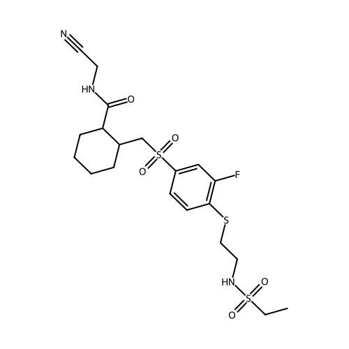 CCS(=O)(=O)NCCSc1ccc(S(=O)(=O)CC2CCCCC2C(=O)NCC#N)cc1F